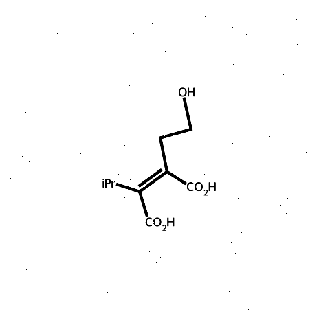 CC(C)C(C(=O)O)=C(CCO)C(=O)O